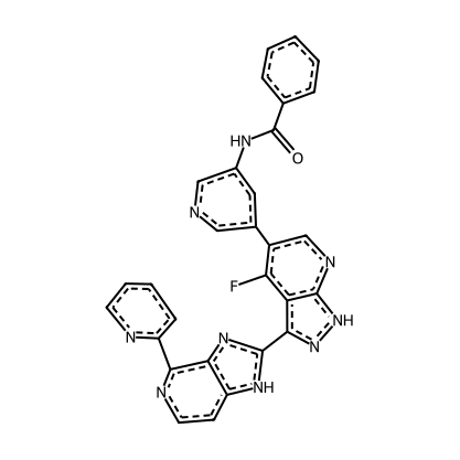 O=C(Nc1cncc(-c2cnc3[nH]nc(-c4nc5c(-c6ccccn6)nccc5[nH]4)c3c2F)c1)c1ccccc1